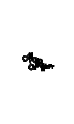 CCCn1cc(S(=O)(=O)N2CCC(Cc3cccnc3)(n3ncc4ccccc43)C2)cn1